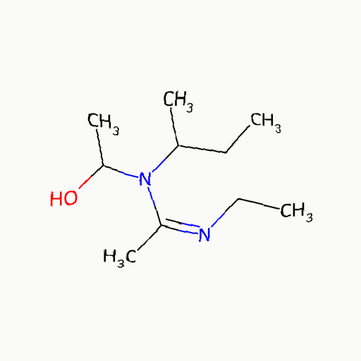 CC/N=C(/C)N(C(C)O)C(C)CC